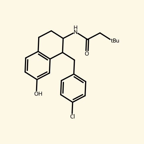 CC(C)(C)CC(=O)NC1CCc2ccc(O)cc2C1Cc1ccc(Cl)cc1